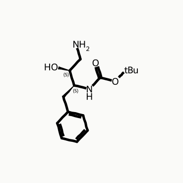 CC(C)(C)OC(=O)N[C@@H](Cc1ccccc1)[C@@H](O)CN